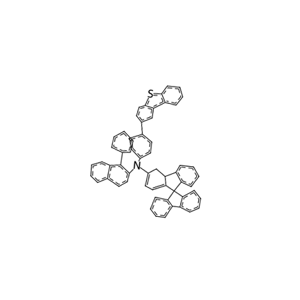 C1=C(N(c2ccc(-c3ccc4sc5ccccc5c4c3)cc2)c2ccc3ccccc3c2-c2ccccc2)CC2C(=C1)C1(c3ccccc3-c3ccccc31)c1ccccc12